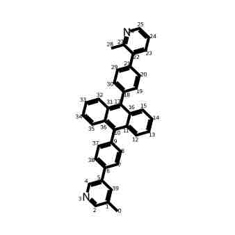 Cc1cncc(-c2ccc(-c3c4ccccc4c(-c4ccc(-c5cccnc5C)cc4)c4ccccc34)cc2)c1